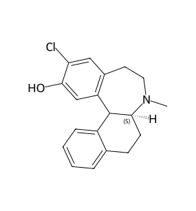 CN1CCc2cc(Cl)c(O)cc2C2c3ccccc3CC[C@@H]21